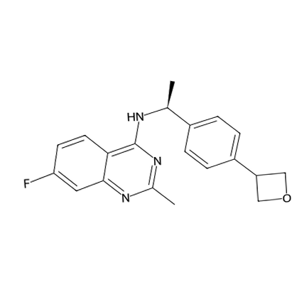 Cc1nc(N[C@@H](C)c2ccc(C3COC3)cc2)c2ccc(F)cc2n1